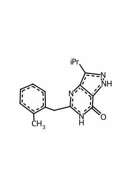 Cc1ccccc1Cc1nc2c(C(C)C)n[nH]c2c(=O)[nH]1